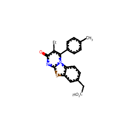 CCc1c(-c2ccc(C)cc2)n2c(nc1=O)sc1cc(CC(=O)O)ccc12